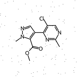 COC(=O)c1c(-c2nc(C)ncc2Cl)cnn1C